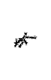 Cc1cc(N(CC(COC(C)C)OCCOCCOCC[N+](C)(C)C)CC(COC(C)C)OCCOCC[N+](C)(C)C)ccc1/N=N/c1sc(C#N)c(C)c1C#N